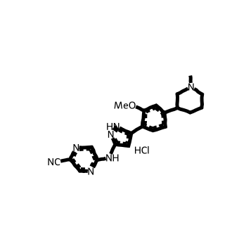 COc1cc(C2CCCN(C)C2)ccc1-c1cc(Nc2cnc(C#N)cn2)n[nH]1.Cl